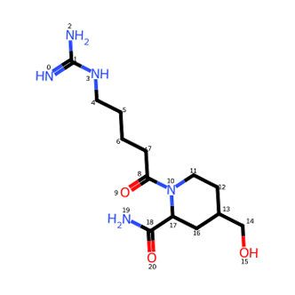 N=C(N)NCCC[CH]C(=O)N1CCC(CO)CC1C(N)=O